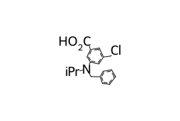 CC(C)N(Cc1ccccc1)c1cc(CCl)cc(C(=O)O)c1